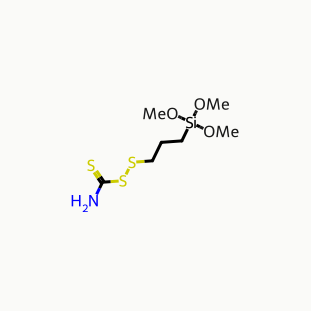 CO[Si](CCCSSC(N)=S)(OC)OC